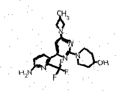 CC1CN(c2cc(-c3ccc(N)nc3C(F)(F)F)nc(N3CCC(O)CC3)n2)C1